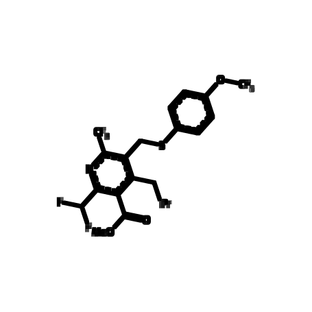 COC(=O)c1c(C(F)F)nc(C(F)(F)F)c(CSc2ccc(OC(F)(F)F)cc2)c1CC(C)C